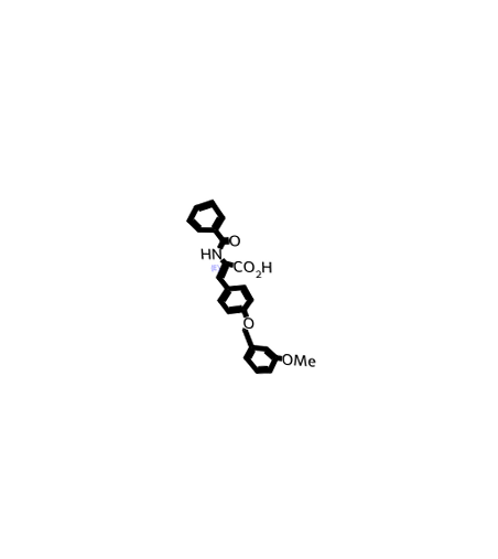 COc1cccc(COc2ccc(/C=C(/NC(=O)c3ccccc3)C(=O)O)cc2)c1